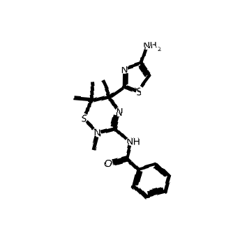 CN1SC(C)(C)C(C)(c2nc(N)cs2)N=C1NC(=O)c1ccccc1